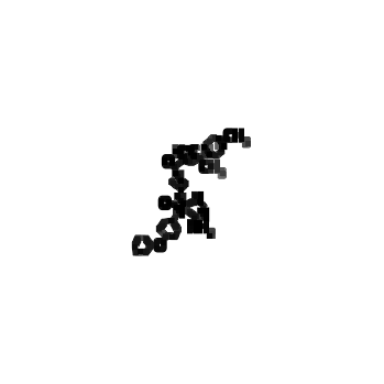 CN1CCN(C(C)(C)C=C(C#N)C(=O)N2CC(n3c(=O)n(-c4ccc(Oc5ccccc5)cc4)c4c(N)ncnc43)C2)CC1